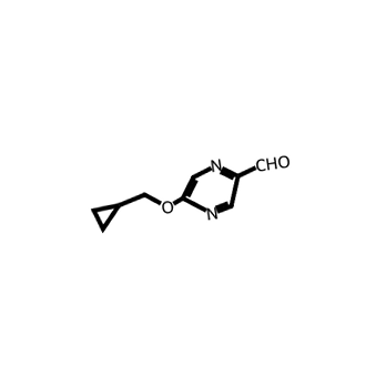 O=Cc1cnc(OCC2CC2)cn1